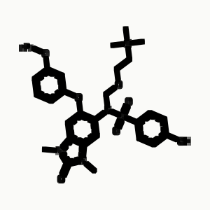 CCCOc1cccc(Oc2cc3c(cc2N(COCC[Si](C)(C)C)S(=O)(=O)c2ccc(O)cc2)n(C)c(=O)n3C)c1